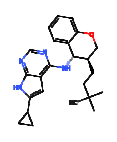 CC(C)(C#N)CC[C@@H]1COc2ccccc2[C@H]1Nc1ncnc2[nH]c(C3CC3)cc12